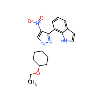 CCO[C@H]1CC[C@H](n2cc([N+](=O)[O-])c(-c3cccc4cc[nH]c34)n2)CC1